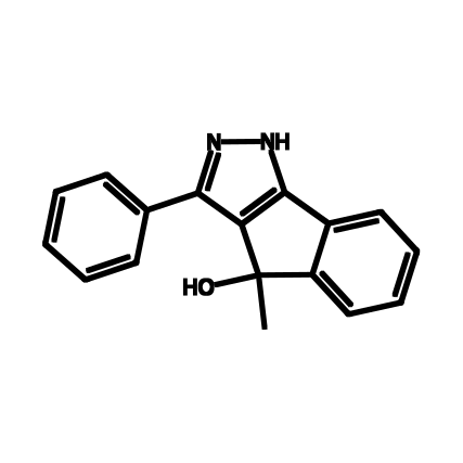 CC1(O)c2ccccc2-c2[nH]nc(-c3ccccc3)c21